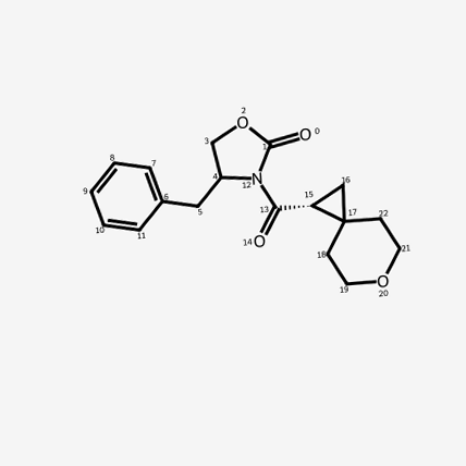 O=C1OCC(Cc2ccccc2)N1C(=O)[C@@H]1CC12CCOCC2